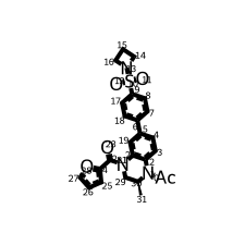 CC(=O)N1c2ccc(-c3ccc(S(=O)(=O)N4CCC4)cc3)cc2N(C(=O)c2ccco2)C[C@@H]1C